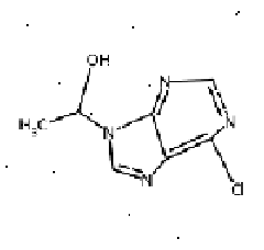 CC(O)n1cnc2c(Cl)ncnc21